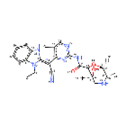 CCN1/C(=C(\C#N)c2nc(NC(=O)C3O[C@@H]4O[C@H]3CN[C@H]4C)ncc2C)Nc2ccccc21